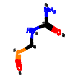 NC(=O)NCP=O